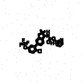 CC1(C)Cc2cc(-c3cc(OC(F)(F)F)ccc3Cl)ccc2C1NC(=O)O[C@H]1CN2CCC1CC2